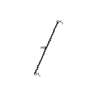 CCCCCCCCCCCCCCCCCCCCCCCCC(O)CCCCCCCCCCCCCCCCCCCCCCC